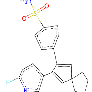 NS(=O)(=O)c1ccc(C2=CC3(C=C2c2ccc(F)nc2)CCCC3)cc1